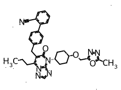 CCCc1c(Cc2ccc(-c3ccccc3C#N)cc2)c(=O)n([C@H]2CC[C@H](OCc3nnc(C)o3)CC2)c2ncnn12